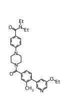 CCOc1cncc(-c2ccc(C(=O)N3CCN(c4ccc(C(=O)N(CC)CC)cc4)CC3)cc2C)c1